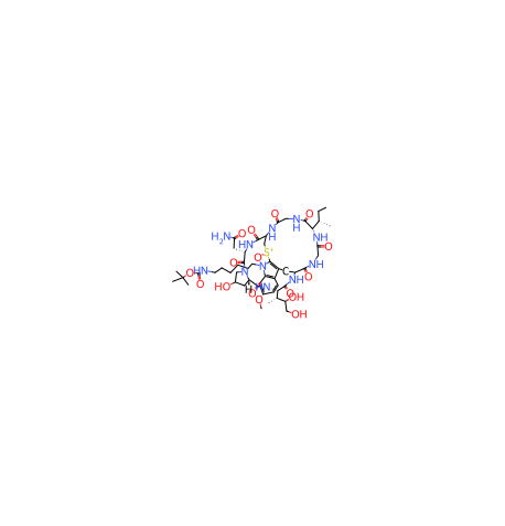 CC[C@H](C)[C@@H]1NC(=O)CNC(=O)C2Cc3c(n(CCCCCCNC(=O)OC(C)(C)C)c4cc(OC)ccc34)[S@+]([O-])CC(NC(=O)CNC1=O)C(=O)N[C@@H](CC(N)=O)C(=O)N1CC(O)C[C@H]1C(=O)N[C@@H]([C@@H](C)[C@@H](O)CO)C(=O)N2